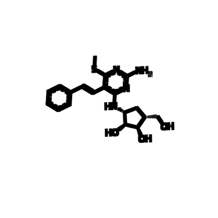 CSc1nc(N)nc(N[C@@H]2C[C@H](CO)[C@@H](O)[C@H]2O)c1/C=C/c1ccccc1